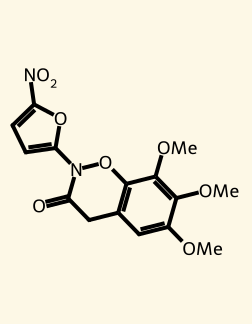 COc1cc2c(c(OC)c1OC)ON(c1ccc([N+](=O)[O-])o1)C(=O)C2